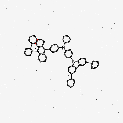 c1ccc(-c2ccc3c(c2)c2cc(-c4ccccc4)ccc2n3-c2ccc(N(c3ccccc3)c3ccc(-c4c5ccccc5c(-c5ccccc5-c5ccccc5)c5ccccc45)cc3)cc2)cc1